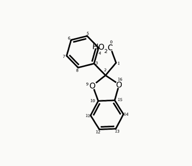 O=C(O)CC1(c2ccccc2)Oc2ccccc2O1